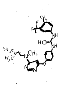 Cc1ccc(NC(O)Nc2ccc(Oc3cc(N(C)CCN(C)C)ncn3)cc2)cc1C(F)(F)F